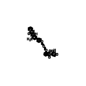 CN1CC(Nc2nc3ccccn3c(=O)c2Br)CC(c2ccc(OCCOCCOc3cccc4c3C(=O)N(C3CCC(=O)NC3=O)C4=O)cc2)C1